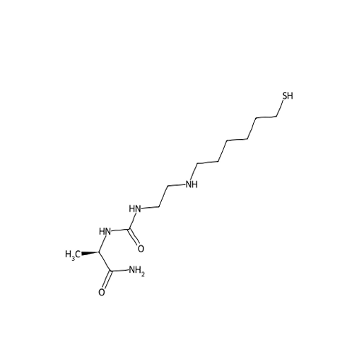 C[C@@H](NC(=O)NCCNCCCCCCS)C(N)=O